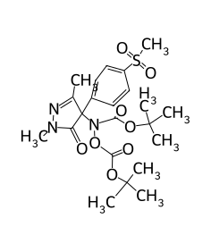 CC1=NN(C)C(=O)C1(c1ccc(S(C)(=O)=O)cc1)N(OC(=O)OC(C)(C)C)C(=O)OC(C)(C)C